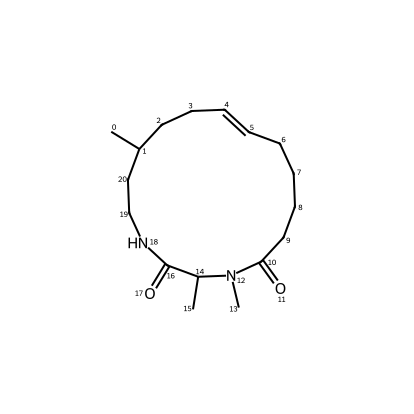 CC1CC/C=C/CCCCC(=O)N(C)C(C)C(=O)NCC1